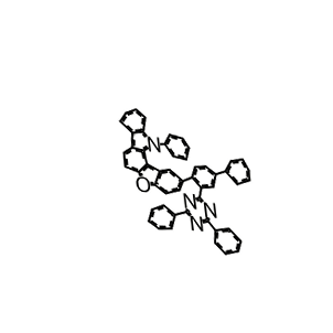 c1ccc(-c2ccc(-c3ccc4oc5ccc6c7ccccc7n(-c7ccccc7)c6c5c4c3)c(-c3nc(-c4ccccc4)nc(-c4ccccc4)n3)c2)cc1